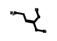 CCOC(=CC[SiH3])OCC